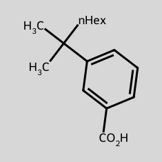 CCCCCCC(C)(C)c1cccc(C(=O)O)c1